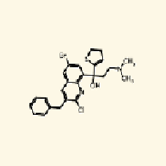 CN(C)CCC(O)(C1=CCCS1)c1cc(Br)cc2cc(Cc3ccccc3)c(Cl)nc12